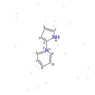 c1cc[n+](-c2ccc[nH]2)cc1